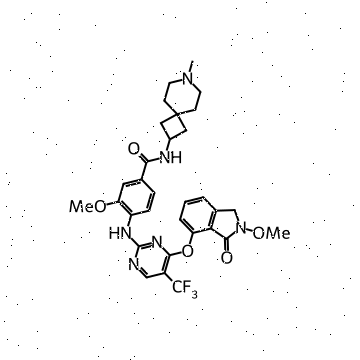 COc1cc(C(=O)NC2CC3(CCN(C)CC3)C2)ccc1Nc1ncc(C(F)(F)F)c(Oc2cccc3c2C(=O)N(OC)C3)n1